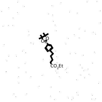 CCOC(=O)CCCCc1ccc(B2OC(C)(C)C(C)(C)O2)cc1